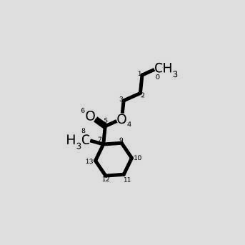 CCCCOC(=O)C1(C)CCCCC1